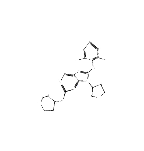 C=C(/N=C1\C(=C/N)N=C(Nc2c(F)cccc2F)N1C1CCOC1)NC1CCOCC1